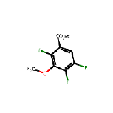 CCOC(=O)c1cc(F)c(F)c(OC(F)(F)F)c1F